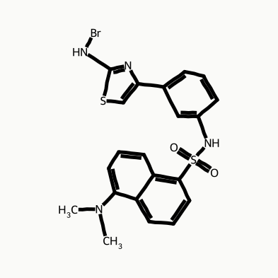 CN(C)c1cccc2c(S(=O)(=O)Nc3cccc(-c4csc(NBr)n4)c3)cccc12